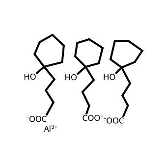 O=C([O-])CCCC1(O)CCCCC1.O=C([O-])CCCC1(O)CCCCC1.O=C([O-])CCCC1(O)CCCCC1.[Al+3]